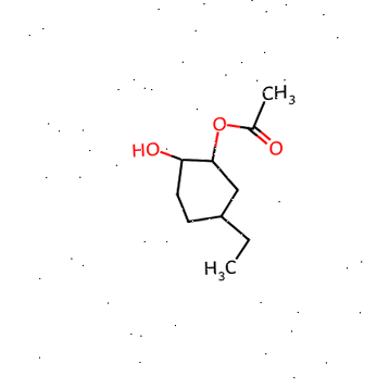 CCC1CCC(O)C(OC(C)=O)C1